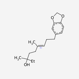 CCC(C)(O)CC/C(C)=C/CCc1ccc2c(c1)OCO2